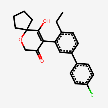 CCc1ccc(-c2ccc(Cl)cc2)cc1C1=C(O)C2(CCCC2)OCC1=O